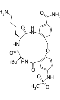 CC[C@H](C)[C@@H]1NC(=O)c2cc(NS(C)(=O)=O)ccc2OCc2ccc(C(N)=O)cc2NC(=O)[C@H](CCCCN)NC1=O